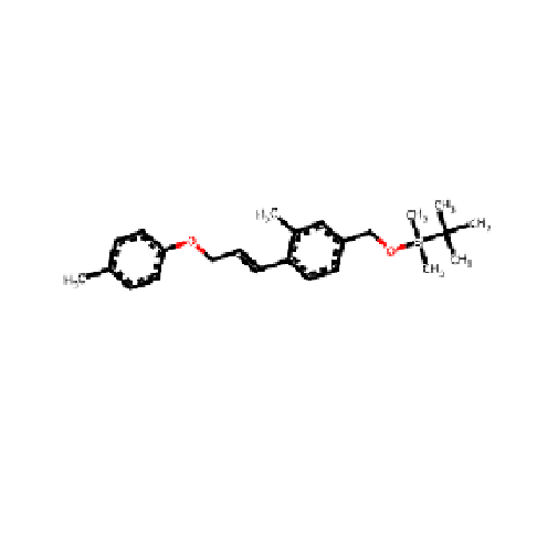 Cc1ccc(OC/C=C/c2ccc(CO[Si](C)(C)C(C)(C)C)cc2C)cc1